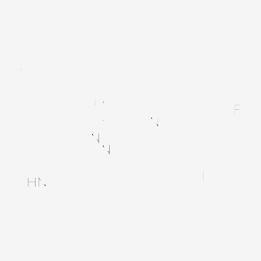 O=c1c2c(n(CC3CCNCC3)n1Cc1ccc(Cl)cc1)CCN(Cc1cc(F)cc(F)c1)C2